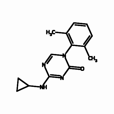 Cc1cccc(C)c1-n1cnc(NC2CC2)nc1=O